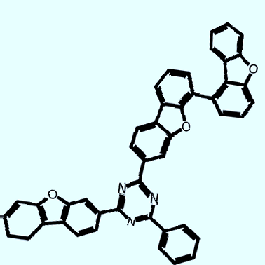 C1=Cc2oc3cc(-c4nc(-c5ccccc5)nc(-c5ccc6c(c5)oc5c(-c7cccc8oc9ccccc9c78)cccc56)n4)ccc3c2CC1